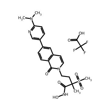 CN(C)c1ccc(-c2ccc3c(=O)n(CCC(C)(C(=O)NO)S(C)(=O)=O)ccc3c2)cn1.O=C(O)C(F)(F)F